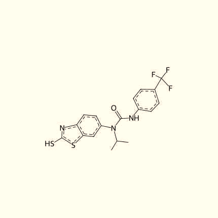 CC(C)N(C(=O)Nc1ccc(C(F)(F)F)cc1)c1ccc2nc(S)sc2c1